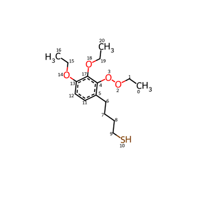 CCOOc1c(CCCCS)ccc(OCC)c1OCC